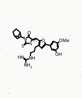 COc1cc(O)cc(-c2cc(CCCNC(=N)N)c(/C=C3\SC(=S)N(C4CC5CCC4C5)C3=O)o2)c1